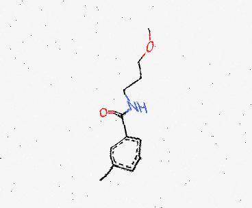 COCCCNC(=O)c1cccc(C)c1